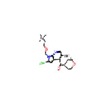 C[Si](C)(C)CCOCn1c(Cl)cc2c(C(=O)C3CCOCC3)c([N+](=O)[O-])cnc21